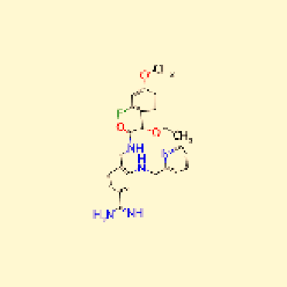 CCOC(C(=O)NCc1ccc(C(=N)N)cc1NCc1ccccn1)c1ccc(OC)cc1F